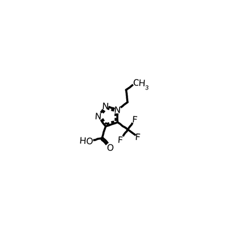 CCCn1nnc(C(=O)O)c1C(F)(F)F